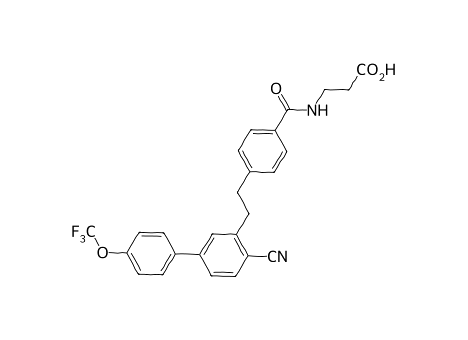 N#Cc1ccc(-c2ccc(OC(F)(F)F)cc2)cc1CCc1ccc(C(=O)NCCC(=O)O)cc1